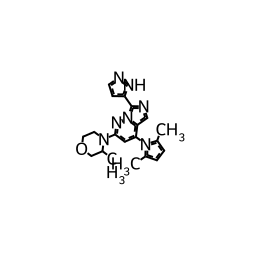 Cc1ccc(C)n1-c1cc(N2CCOCC2C)nn2c(-c3ccn[nH]3)ncc12